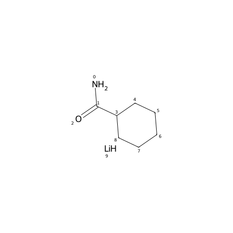 NC(=O)C1CCCCC1.[LiH]